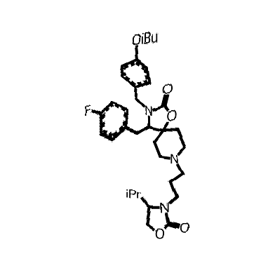 CC(C)COc1ccc(CN2C(=O)OC3(CCN(CCCN4C(=O)OCC4C(C)C)CC3)C2Cc2ccc(F)cc2)cc1